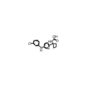 O=C(O)NC1(c2ccc(Nc3cccc(Cl)c3)cn2)CCC1